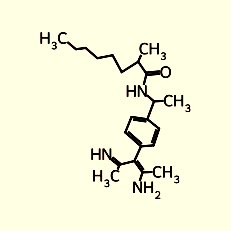 CCCCCCC(C)C(=O)NC(C)c1ccc(/C(C(C)=N)=C(\C)N)cc1